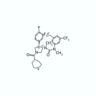 CN(C(=O)N(C)[C@@H]1CN(C(=O)C2CCSCC2)C[C@H]1c1ccc(F)cc1)c1cc(C(F)(F)F)cc(C(F)(F)F)c1